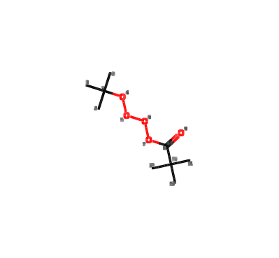 CC(C)(C)OOOOC(=O)C(C)(C)C